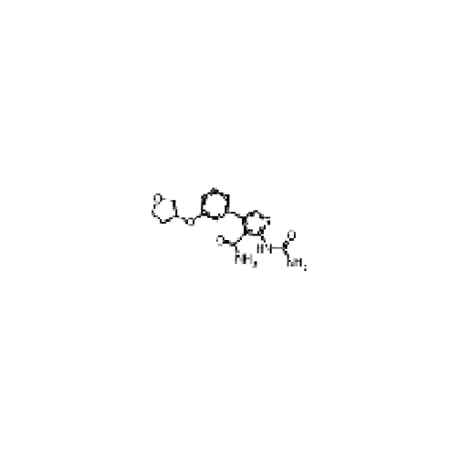 NC(=O)Nc1scc(-c2cccc(OC3CCOC3)c2)c1C(N)=O